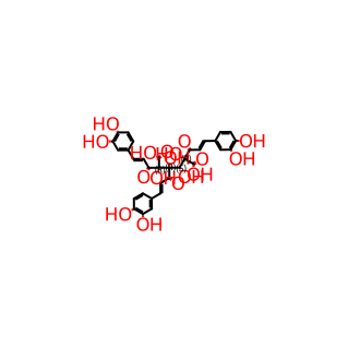 O=C(O)[C@](O)(C(=O)C=Cc1ccc(O)c(O)c1)[C@@H](O)[C@](O)(C(=O)C=Cc1ccc(O)c(O)c1)[C@](O)(C(=O)O)C(=O)C=Cc1ccc(O)c(O)c1